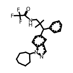 CC(C)(CNC(=O)C(F)(F)F)C(c1ccccc1)c1ccc2c(cnn2C2CCCCCC2)c1